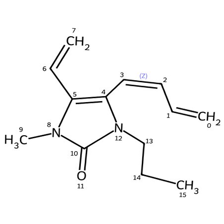 C=C/C=C\c1c(C=C)n(C)c(=O)n1CCC